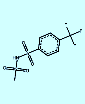 CS(=O)(=O)NS(=O)(=O)c1ccc(C(F)(F)F)cc1